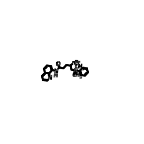 CCCC(CCC(=O)Nc1cccc2cccnc12)C[Si](C)(C)c1ccccc1